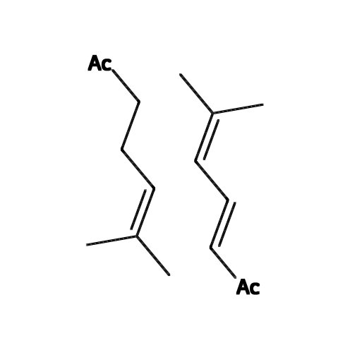 CC(=O)/C=C/C=C(C)C.CC(=O)CCC=C(C)C